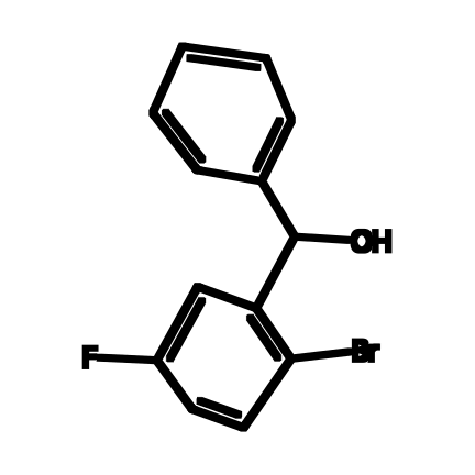 OC(c1ccccc1)c1cc(F)ccc1Br